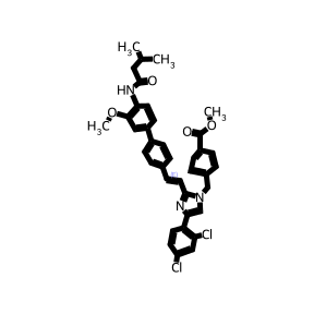 COC(=O)c1ccc(Cn2cc(-c3ccc(Cl)cc3Cl)nc2/C=C/c2ccc(-c3ccc(NC(=O)CC(C)C)c(OC)c3)cc2)cc1